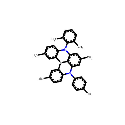 Cc1cc2c3c(c1)N(c1c(C)cccc1C)c1ccc([SiH3])cc1B3c1cc(C(C)(C)C)ccc1N2c1ccc(C(C)(C)C)cc1